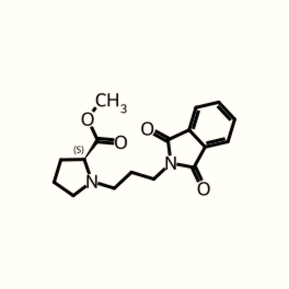 COC(=O)[C@@H]1CCCN1CCCN1C(=O)c2ccccc2C1=O